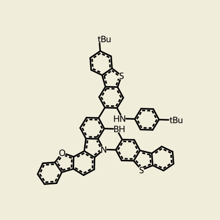 CC(C)(C)c1ccc(Nc2cc3sc4cc(C(C)(C)C)ccc4c3cc2-c2ccc3c4c5oc6ccccc6c5ccc4n4c3c2Bc2cc3c(cc2-4)sc2ccccc23)cc1